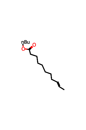 C/C=C/CCCCCCCC(=O)OCCCC